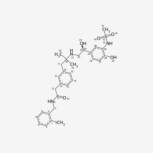 Cc1ccccc1CNC(=O)Cc1cccc(CC(C)(C)NC[C@@H](O)c2ccc(O)c(NS(C)(=O)=O)c2)c1